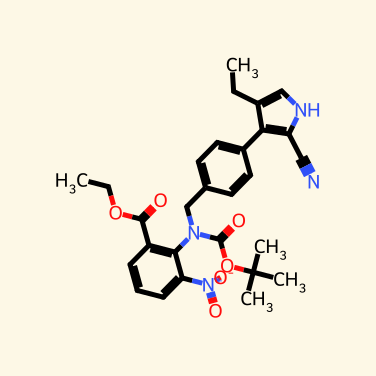 CCOC(=O)c1cccc([N+](=O)[O-])c1N(Cc1ccc(-c2c(CC)c[nH]c2C#N)cc1)C(=O)OC(C)(C)C